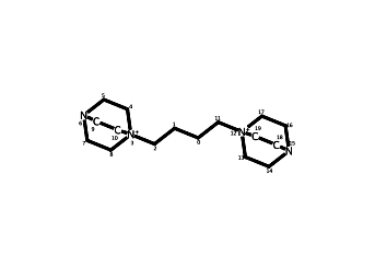 C(CC[N+]12CCN(CC1)CC2)C[N+]12CCN(CC1)CC2